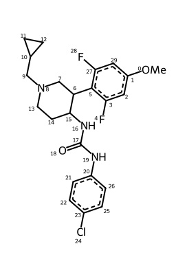 COc1cc(F)c(C2CN(CC3CC3)CCC2NC(=O)Nc2ccc(Cl)cc2)c(F)c1